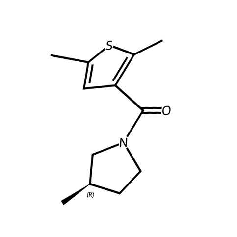 Cc1cc(C(=O)N2CC[C@@H](C)C2)c(C)s1